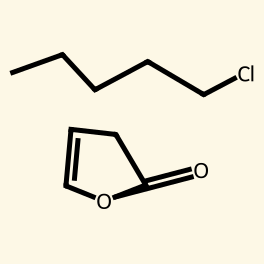 CCCCCCl.O=C1CC=CO1